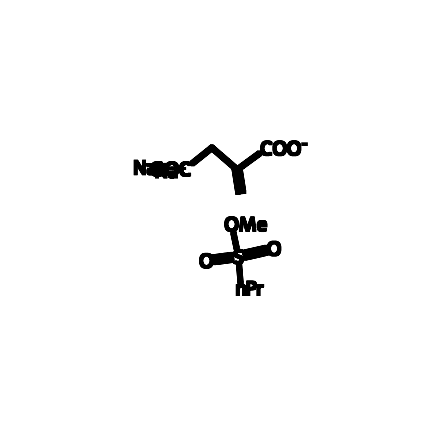 C=C(CC(=O)[O-])C(=O)[O-].CCCS(=O)(=O)OC.[Na+].[Na+]